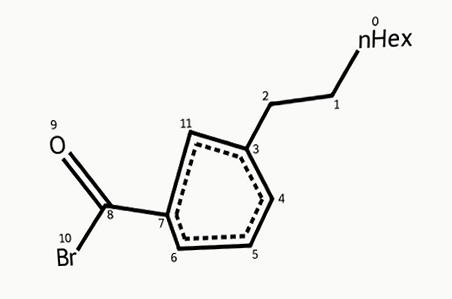 CCCCCCCCc1cccc(C(=O)Br)c1